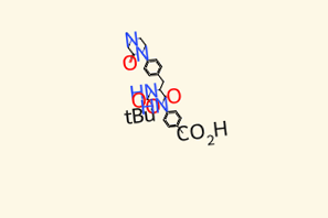 CN1CCN(c2ccc(CC(NC(=O)OC(C)(C)C)C(=O)Nc3ccc(C(=O)O)cc3)cc2)C(=O)C1